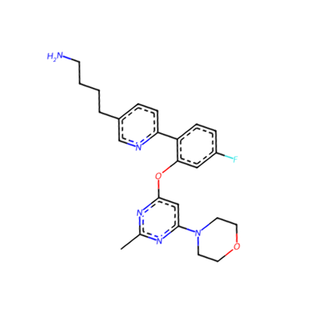 Cc1nc(Oc2cc(F)ccc2-c2ccc(CCCCN)cn2)cc(N2CCOCC2)n1